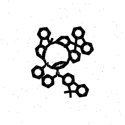 CC1(C)c2ccccc2-c2ccc(N(c3ccccc3)c3cc4ccc3N(c3ccccc3)c3ccc5c(c3)C(C)(c3ccc6c(c3)-c3c-4cccc3C63c4ccccc4-c4ccccc43)c3ccccc3-5)cc21